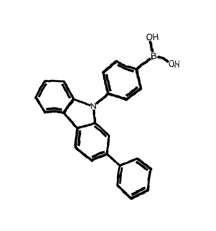 OB(O)c1ccc(-n2c3ccccc3c3ccc(-c4ccccc4)cc32)cc1